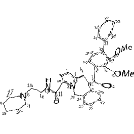 COc1c(C(=O)N2Cc3ccc(C(=O)NCCN4CCCCC4)n3Cc3ccccc32)ccc(-c2ccccc2)c1OC